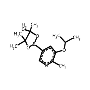 Cc1ncc(B2OC(C)(C)C(C)(C)O2)cc1OC(C)C